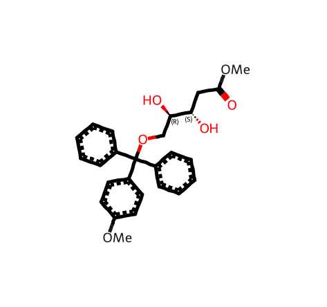 COC(=O)C[C@H](O)[C@H](O)COC(c1ccccc1)(c1ccccc1)c1ccc(OC)cc1